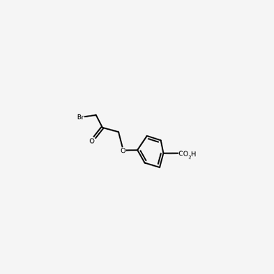 O=C(CBr)COc1ccc(C(=O)O)cc1